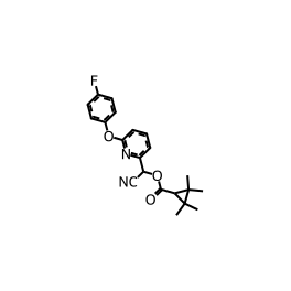 CC1(C)C(C(=O)OC(C#N)c2cccc(Oc3ccc(F)cc3)n2)C1(C)C